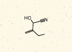 C=C(CC)C(O)C#N